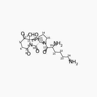 CC(C)[C@]1(C=O)C(=O)CCC(=O)N1C(=O)[C@@H]1CCCN1C(=O)[C@@H](N)CCCCN